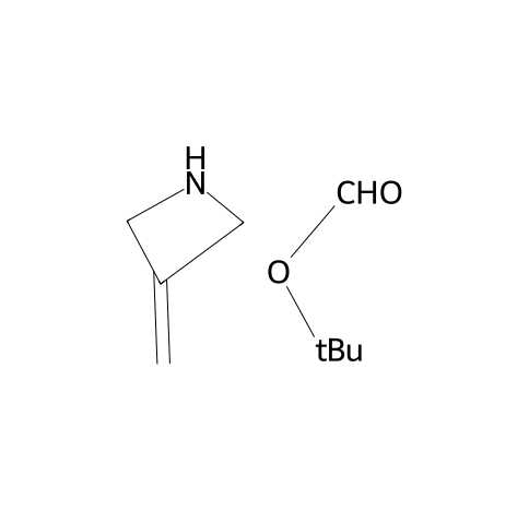 C=C1CNC1.CC(C)(C)OC=O